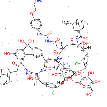 CC[C@H](CC(C)C)C(=O)N[C@H]1C(=O)C[C@@H](CC(=O)NC(=O)Nc2ccc(OCCN)cc2)C(=O)N[C@H]2C(=O)C[C@H]3C(=O)N[C@H](C(=O)N[C@H](C(=O)CC4C5CC6CC(C5)CC4C6)c4cc(O)cc5c4-c4cc3ccc4C5(O)O)[C@H](O)c3ccc(c(Cl)c3)Oc3cc2cc(c3O[C@@H]2O[C@H](CO)[C@@H](O)[C@H](O)[C@H]2O[C@H]2C[C@](C)(N)[C@H](O)[C@H](C)O2)Oc2ccc(cc2Cl)[C@H]1O